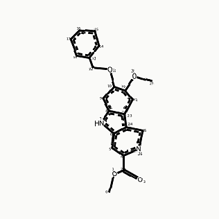 COC(=O)c1cc2[nH]c3cc(OCc4ccccc4)c(OC)cc3c2cn1